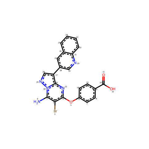 Nc1c(Br)c(Oc2ccc(C(=O)O)cc2)nc2c(-c3cnc4ccccc4c3)cnn12